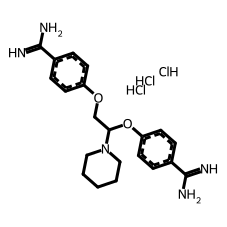 Cl.Cl.Cl.N=C(N)c1ccc(OCC(Oc2ccc(C(=N)N)cc2)N2CCCCC2)cc1